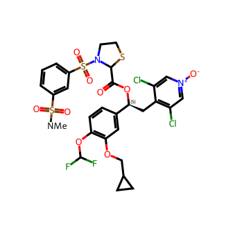 CNS(=O)(=O)c1cccc(S(=O)(=O)N2CCSC2C(=O)O[C@@H](Cc2c(Cl)c[n+]([O-])cc2Cl)c2ccc(OC(F)F)c(OCC3CC3)c2)c1